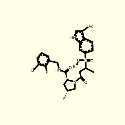 CCOP(=O)(c1ccc2c(C(C)=O)c[nH]c2c1)C(C)CC(=O)N1C[C@H](F)C[C@H]1C(=O)NCc1cccc(Cl)c1F